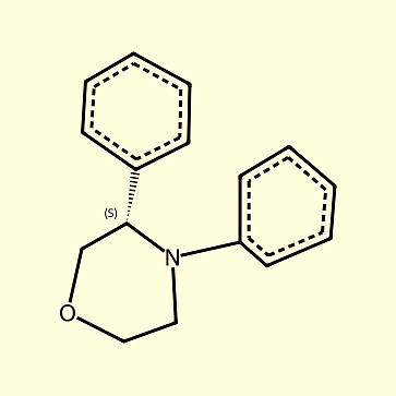 c1ccc([C@H]2COCCN2c2ccccc2)cc1